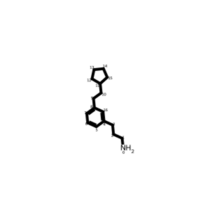 NCCCc1cccc(CCC2CCCC2)c1